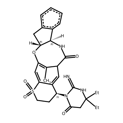 CCC1(CC)CC(=O)N([C@H]2CCS(=O)(=O)C3=CC4=C(C)C(C=C32)C(=O)N[C@@H]2c3ccccc3C[C@H]2O4)C(=N)N1